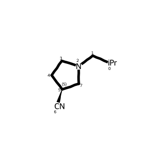 CC(C)CN1CC[C@H](C#N)C1